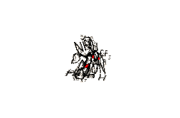 NC(=O)c1cc(NC2CCNC2=O)nc(N2[C@@H]3CC[C@H]2CC(Oc2ccc(C(F)(F)F)cc2CN2CCCC2)C3)n1